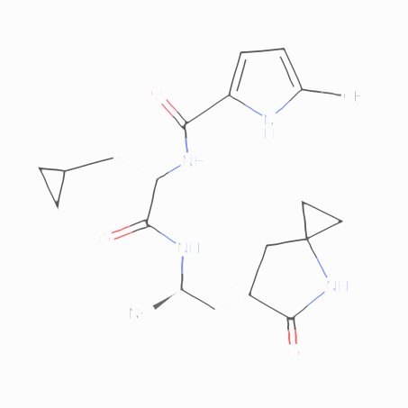 N#C[C@H](C[C@@H]1CC2(CC2)NC1=O)NC(=O)[C@H](CC1CC1)NC(=O)c1ccc(C(F)(F)F)[nH]1